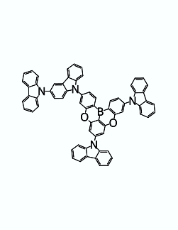 c1ccc2c(c1)c1ccccc1n2-c1ccc2c(c1)Oc1cc(-n3c4ccccc4c4ccccc43)cc3c1B2c1ccc(-n2c4ccccc4c4cc(-n5c6ccccc6c6ccccc65)ccc42)cc1O3